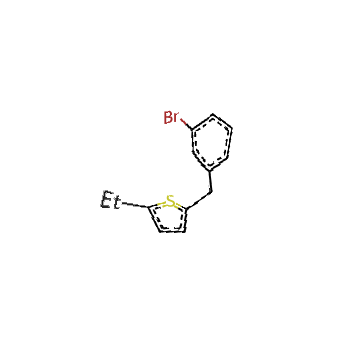 CCc1ccc(Cc2cccc(Br)c2)s1